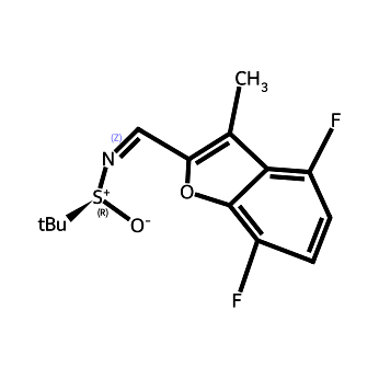 Cc1c(/C=N\[S@@+]([O-])C(C)(C)C)oc2c(F)ccc(F)c12